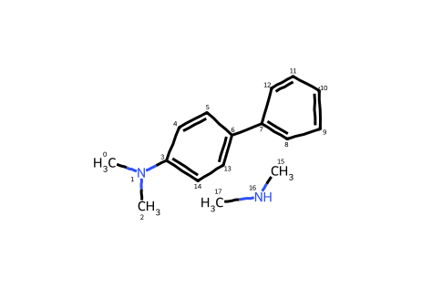 CN(C)c1ccc(-c2cc[c]cc2)cc1.CNC